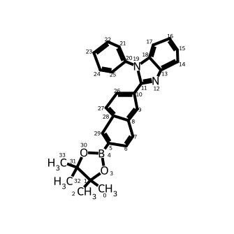 CC1(C)OB(c2ccc3cc(-c4nc5ccccc5n4-c4ccccc4)ccc3c2)OC1(C)C